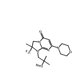 COC(C)(C)CN1c2nc(N3CCOCC3)cc(=O)n2CC1(C)C(F)(F)F